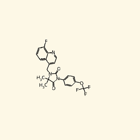 CC1(C)C(=O)N(c2ccc(OC(F)(F)F)cc2)C(=O)N1Cc1ccnc2c(F)cccc12